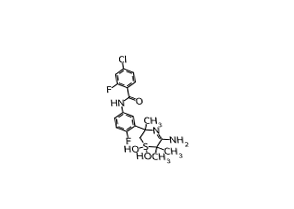 CC1(c2cc(NC(=O)c3ccc(Cl)cc3F)ccc2F)CS(O)(O)C(C)(C)C(N)=N1